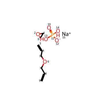 C1CO1.C=CCOCC=C.O=P([O-])(O)O.[Na+]